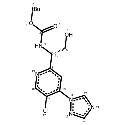 CC(C)(C)OC(=O)N[C@H](CO)c1cc(-n2cncn2)c(Cl)cn1